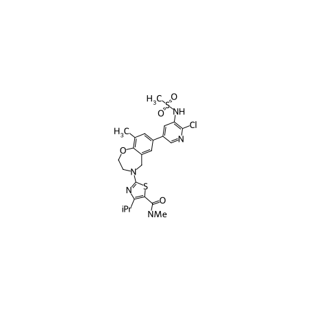 CNC(=O)c1sc(N2CCOc3c(C)cc(-c4cnc(Cl)c(NS(C)(=O)=O)c4)cc3C2)nc1C(C)C